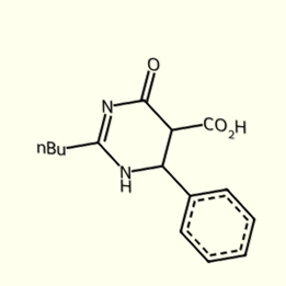 CCCCC1=NC(=O)C(C(=O)O)C(c2ccccc2)N1